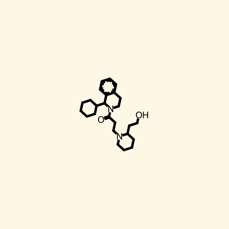 O=C(CCN1CCCCC1CCO)N1CCc2ccccc2C1C1CCCCC1